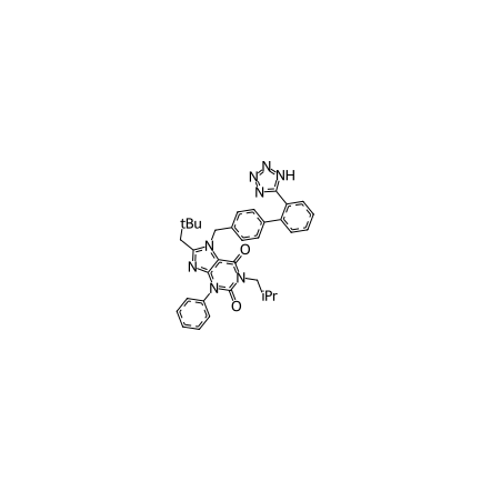 CC(C)Cn1c(=O)c2c(nc(CC(C)(C)C)n2Cc2ccc(-c3ccccc3-c3nnn[nH]3)cc2)n(-c2ccccc2)c1=O